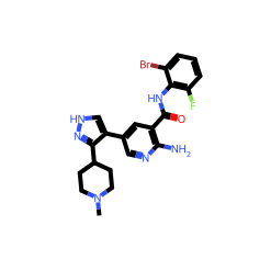 CN1CCC(c2n[nH]cc2-c2cnc(N)c(C(=O)Nc3c(F)cccc3Br)c2)CC1